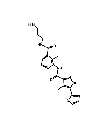 Cc1c(NC(=O)c2n[nH]c(-c3cccs3)c2C)cccc1C(=O)NCCCN